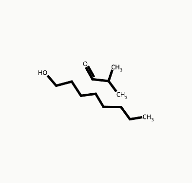 CC(C)C=O.CCCCCCCCO